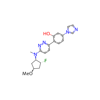 CO[C@@H]1C[C@@H](F)[C@H](N(C)c2ccc(-c3ccc(-n4ccnc4)cc3O)nn2)C1